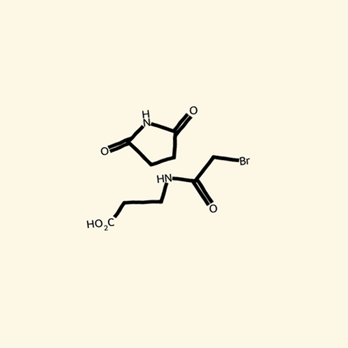 O=C(O)CCNC(=O)CBr.O=C1CCC(=O)N1